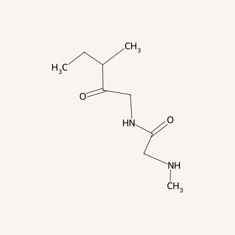 CCC(C)C(=O)CNC(=O)CNC